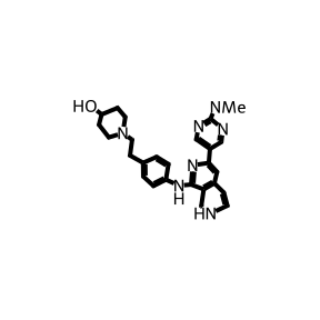 CNc1ncc(-c2cc3c(c(Nc4ccc(CCN5CCC(O)CC5)cc4)n2)CNC=C3)cn1